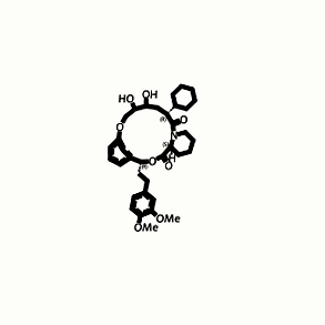 COc1ccc(CC[C@H]2OC(=O)[C@@H]3CCCCN3C(=O)[C@@H](C3CCCCC3)CC(O)C(O)COc3cccc2c3)cc1OC